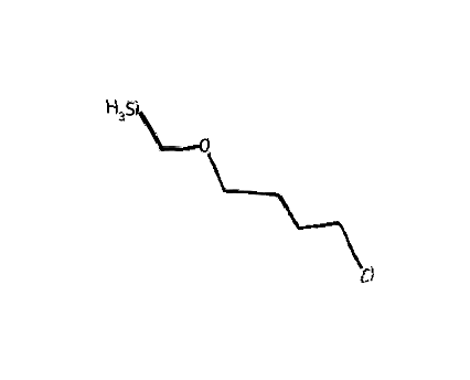 [SiH3]COCCCCCl